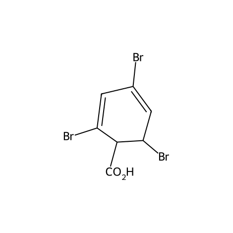 O=C(O)C1C(Br)=CC(Br)=CC1Br